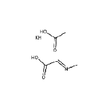 CC(=O)O.CN=CC(=O)O.[KH]